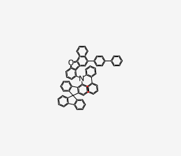 c1ccc(-c2ccc(-c3cc4c(oc5cccc(N(c6ccccc6-c6ccccc6)c6cccc7c6-c6ccccc6C76c7ccccc7-c7ccccc76)c54)c4ccccc34)cc2)cc1